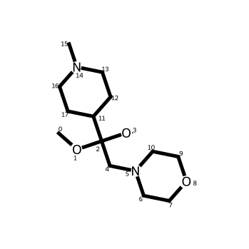 COC([O])(CN1CCOCC1)C1CCN(C)CC1